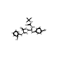 CC(C)(C)OC(=O)N[C@@H](Cc1ccc(Br)cc1)[C@@H]1C[C@@H](Cc2ccccc2F)C(=O)O1